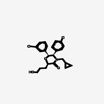 O=C1[C@@H](CCCO)O[C@H](c2cccc(Cl)c2)[C@H](c2ccc(Cl)cc2)N1CC1CC1